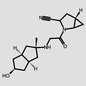 C[C@@]1(NCC(=O)N2C(C#N)C[C@@H]3CC32)C[C@H]2C[C@@H](O)C[C@H]2C1